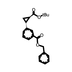 CC(C)(C)OC(=O)[C@@H]1C[C@H]1c1cccc(C(=O)OCc2ccccc2)c1